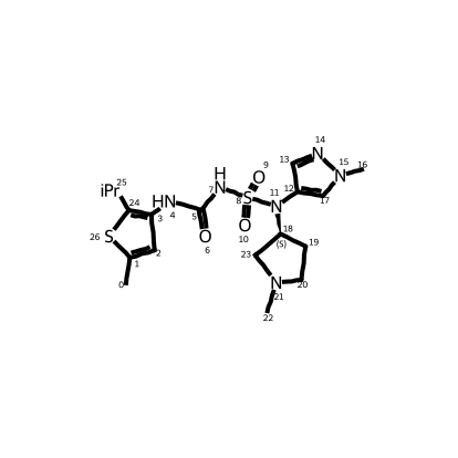 Cc1cc(NC(=O)NS(=O)(=O)N(c2cnn(C)c2)[C@H]2CCN(C)C2)c(C(C)C)s1